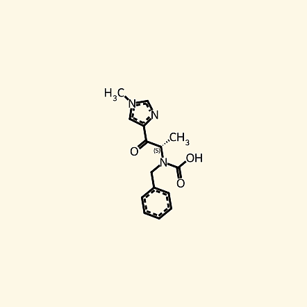 C[C@@H](C(=O)c1cn(C)cn1)N(Cc1ccccc1)C(=O)O